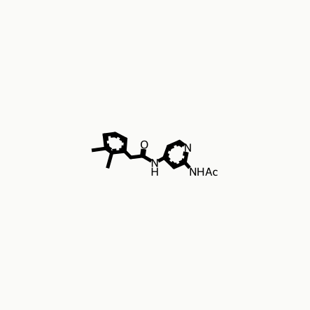 CC(=O)Nc1cc(NC(=O)Cc2cccc(C)c2C)ccn1